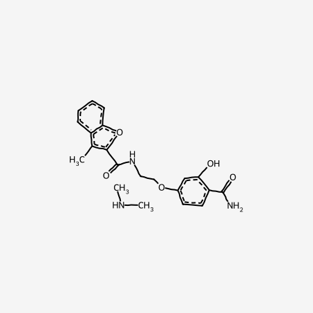 CNC.Cc1c(C(=O)NCCOc2ccc(C(N)=O)c(O)c2)oc2ccccc12